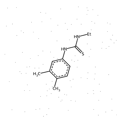 CCNC(=S)Nc1ccc(C)c(C)c1